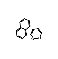 C1=CO[Se]C=C1.c1ccc2ccccc2c1